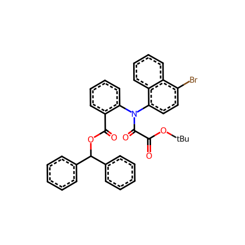 CC(C)(C)OC(=O)C(=O)N(c1ccccc1C(=O)OC(c1ccccc1)c1ccccc1)c1ccc(Br)c2ccccc12